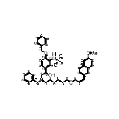 COc1ccc2cc(/C=C\COCCCCCCN(Cc3ccccc3)CC(O)c3ccc(OCc4ccccc4)c(NS(C)(=O)=O)c3)ccc2c1